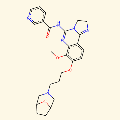 COc1c(OCCCN2CC3CCC(C2)O3)ccc2c1N=C(NC(=O)c1cccnc1)N1CCN=C21